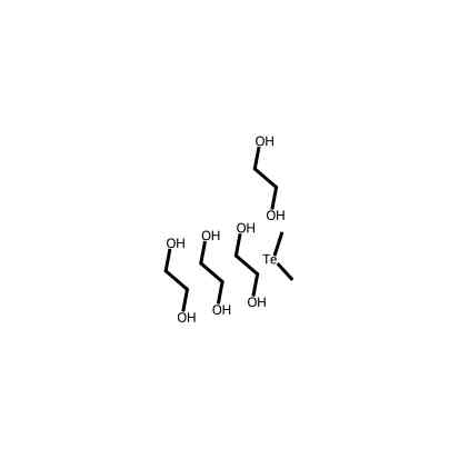 C[Te]C.OCCO.OCCO.OCCO.OCCO